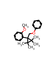 COc1ccccc1C1(COc2ccccc2)C(C)(C)C1(C)C